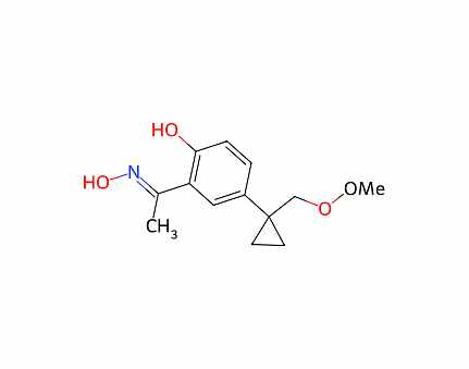 COOCC1(c2ccc(O)c(/C(C)=N/O)c2)CC1